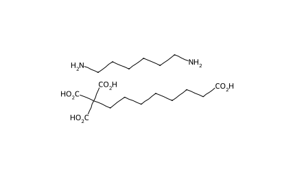 NCCCCCCN.O=C(O)CCCCCCCC(C(=O)O)(C(=O)O)C(=O)O